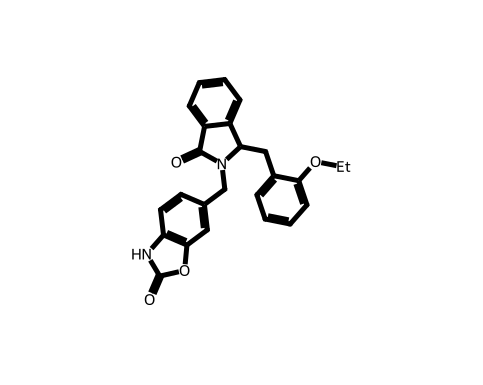 CCOc1ccccc1CC1c2ccccc2C(=O)N1Cc1ccc2[nH]c(=O)oc2c1